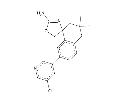 CC1(C)Cc2ccc(-c3cncc(Cl)c3)cc2C2(COC(N)=N2)C1